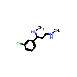 CNCCC(NC)c1cccc(Cl)c1